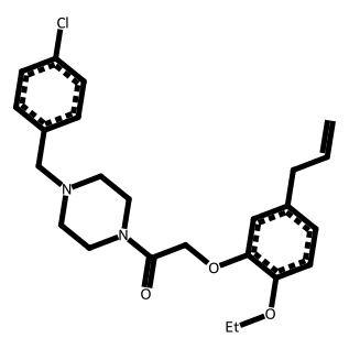 C=CCc1ccc(OCC)c(OCC(=O)N2CCN(Cc3ccc(Cl)cc3)CC2)c1